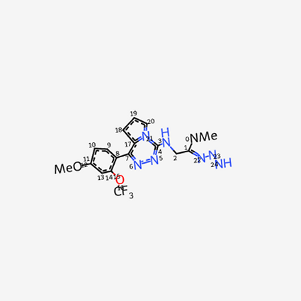 CN/C(CNc1nnc(-c2ccc(OC)cc2OC(F)(F)F)c2cccn12)=N\N=N